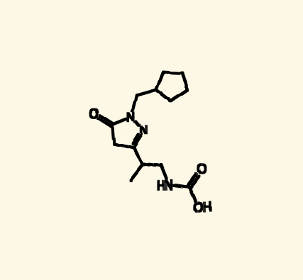 CC(CNC(=O)O)C1=NN(CC2CCCC2)C(=O)C1